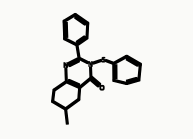 CC1CCc2nc(-c3ccccc3)n(Sc3ccccc3)c(=O)c2C1